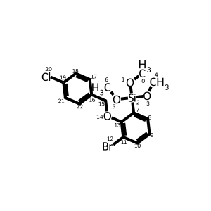 CO[Si](OC)(OC)c1cccc(Br)c1OCc1ccc(Cl)cc1